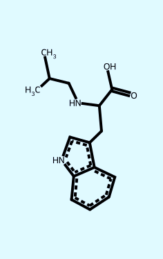 CC(C)CNC(Cc1c[nH]c2ccccc12)C(=O)O